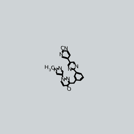 Cn1cc(-n2ccc(=O)c(Cc3cccc(-c4ncc(-c5ccc(C#N)nc5)cn4)c3)n2)cn1